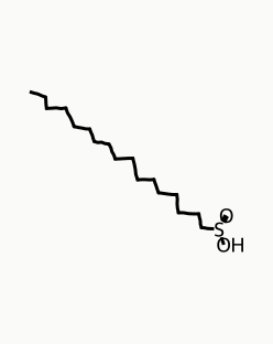 CCCCCCCCCCCCCCCCCS(=O)O